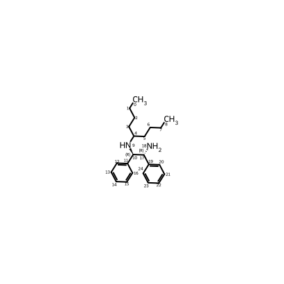 CCCCC(CCCC)N[C@H](c1ccccc1)[C@H](N)c1ccccc1